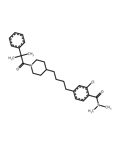 CN(C)C(=O)c1ccc(CCCCC2CCN(C(=O)C(C)(C)c3ccccc3)CC2)cc1Cl